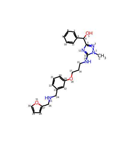 Cn1nc(C(O)c2ccccc2)nc1NCCCOc1cccc(CNCc2ccco2)c1